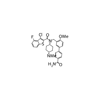 CN[C@H]1CC[C@@H](N(Cc2cc(-c3ccc(C(N)=O)cc3)ccc2OC)C(=O)c2sc3cccc(F)c3c2Cl)CC1